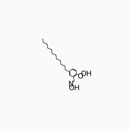 CCCCCCCCCCCCc1ccc(OO)c(C=NO)c1